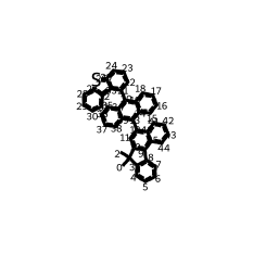 CC1(C)c2ccccc2-c2c1cc(-c1c3ccccc3c(-c3cccc4sc5ccccc5c34)c3ccccc13)c1ccccc21